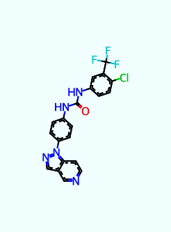 O=C(Nc1ccc(-n2ncc3cnccc32)cc1)Nc1ccc(Cl)c(C(F)(F)F)c1